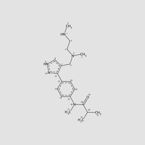 CNCCN(C)Cc1c[nH]nc1-c1ccc(N(C)C(=O)C(C)C)cc1